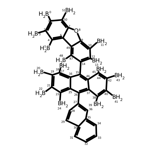 Bc1c(B)c(B)c2c(oc3c(B)c(B)c(-c4c5c(B)c(B)c(B)c(B)c5c(-c5ccc6ccccc6c5)c5c(B)c(B)c(B)c(B)c45)c(B)c32)c1B